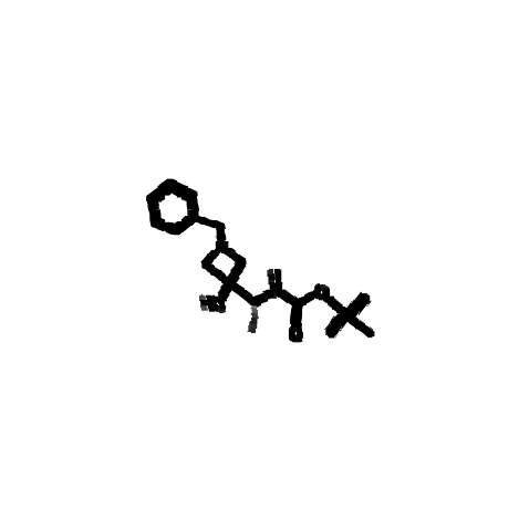 C[C@@H](NC(=O)OC(C)(C)C)C1(O)CN(Cc2ccccc2)C1